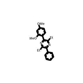 CCc1nc(-c2ccc(OC)cc2OC)c(CC)nc1-c1ccccc1